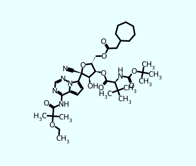 CCOC(C)(C)C(=O)Nc1ncnn2c([C@]3(C#N)O[C@H](COC(=O)CC4CCCCCC4)[C@@H](OC(=O)[C@@H](NC(=O)OC(C)(C)C)C(C)(C)C)[C@H]3O)ccc12